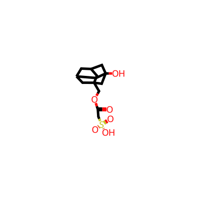 O=C(CS(=O)(=O)O)OCC12CC3CC(CC(O)(C3)C1)C2